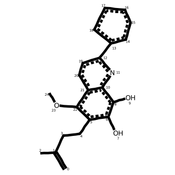 C=C(C)CCc1c(O)c(O)c2nc(-c3ccccc3)ccc2c1OC